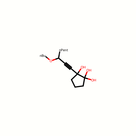 CCCCCC(C#CC1(O)CCCC1(O)O)OCCCC